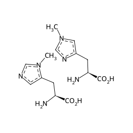 Cn1cnc(C[C@H](N)C(=O)O)c1.Cn1cncc1C[C@H](N)C(=O)O